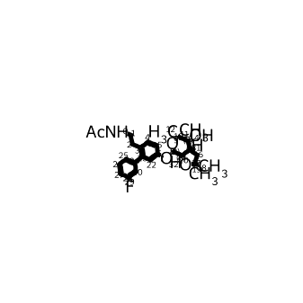 CC(=O)NCCc1ccc(O[C@@H]2OC(C)(C)[C@H](O)[C@H]3CC(C)(C)O[C@@H]23)cc1-c1cccc(F)c1